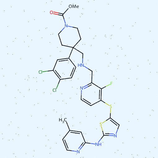 COC(=O)N1CCC(CNCc2nccc(Sc3cnc(Nc4cc(C)ccn4)s3)c2F)(c2ccc(Cl)c(Cl)c2)CC1